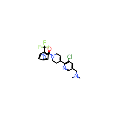 CN(C)Cc1cnc(C2=CCN(C(=O)N3C4=CC=C(C(F)(F)F)C3=C4)CC2)c(Cl)c1